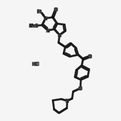 CCn1c(SC)nc2c(ccn2Cc2ccc(C(=O)c3ccc(OCCN4CCCCC4)cc3)cc2)c1=O.Cl